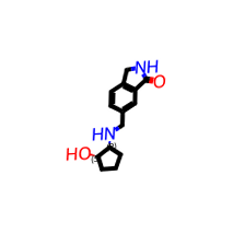 O=C1NCc2ccc(CN[C@@H]3CCC[C@@H]3O)cc21